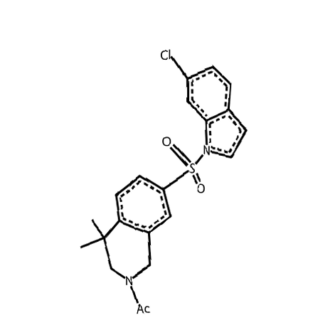 CC(=O)N1Cc2cc(S(=O)(=O)n3ccc4ccc(Cl)cc43)ccc2C(C)(C)C1